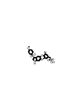 COc1ccc(S(=O)(=O)c2c[nH]c3ccc(Oc4c(Br)cc(CS(=O)(=O)O)cc4Br)cc23)cc1